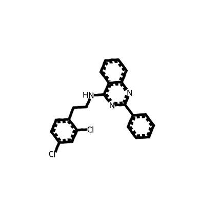 Clc1ccc(CCNc2nc(-c3ccccc3)nc3ccccc23)c(Cl)c1